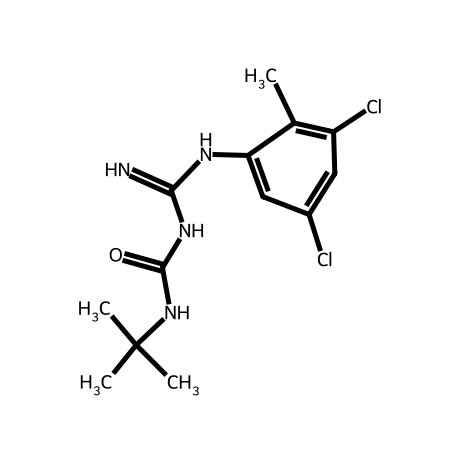 Cc1c(Cl)cc(Cl)cc1NC(=N)NC(=O)NC(C)(C)C